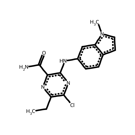 CCc1nc(C(N)=O)c(Nc2ccc3ccn(C)c3c2)nc1Cl